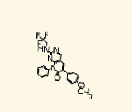 COc1ccc(-c2cc3cnc(NCC(F)(F)F)nc3n(-c3ccccc3)c2=O)cc1